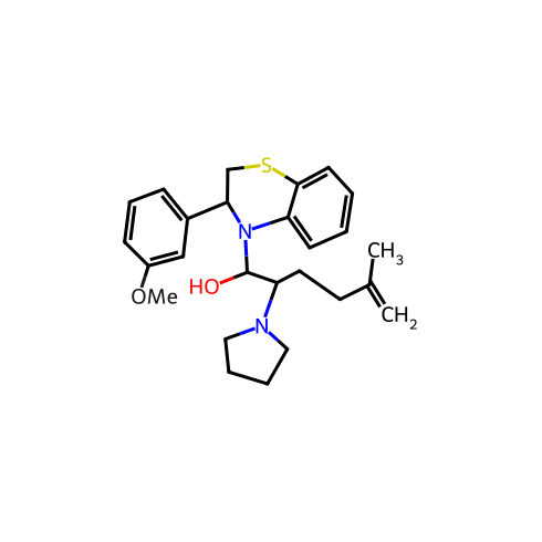 C=C(C)CCC(C(O)N1c2ccccc2SCC1c1cccc(OC)c1)N1CCCC1